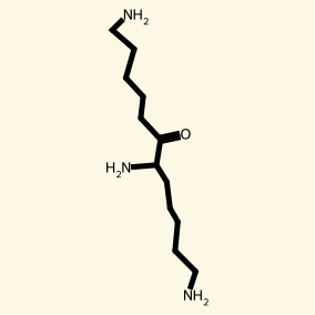 NCCCCCC(=O)C(N)CCCCCN